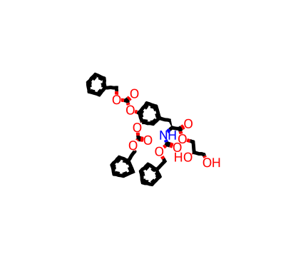 O=C(N[C@@H](Cc1ccc(OC(=O)OCc2ccccc2)c(OC(=O)OCc2ccccc2)c1)C(=O)OC[C@@H](O)CO)OCc1ccccc1